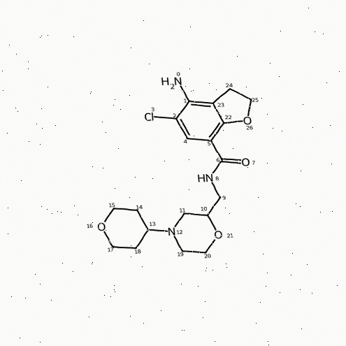 Nc1c(Cl)cc(C(=O)NCC2CN(C3CCOCC3)CCO2)c2c1CCO2